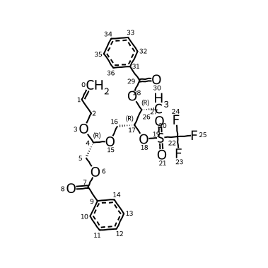 C=CCO[C@@H](COC(=O)c1ccccc1)OC[C@@H](OS(=O)(=O)C(F)(F)F)[C@@H](C)OC(=O)c1ccccc1